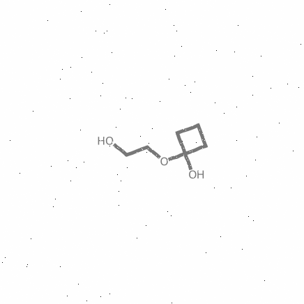 OCCOC1(O)CCC1